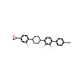 CCCc1ccc(-c2ccc(C3CCC(c4ccc(C5CO5)cc4F)CC3)c(F)c2F)cc1